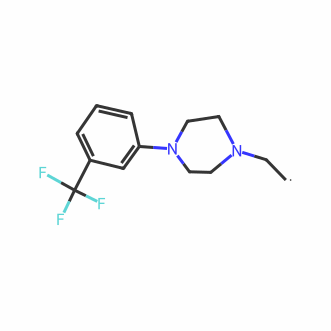 [CH2]CN1CCN(c2cccc(C(F)(F)F)c2)CC1